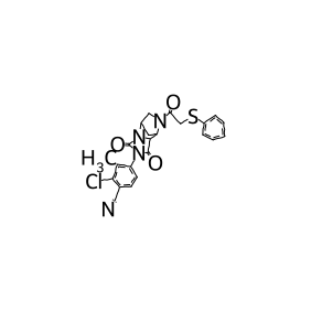 Cc1c(N2C(=O)C3C4CC(CN4C(=O)CSc4ccccc4)N3C2=O)ccc(C#N)c1Cl